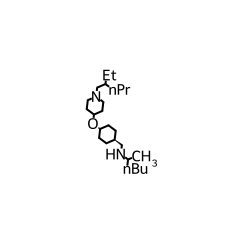 CCCCC(C)NC[C@H]1CC[C@H](OC2CCN(CC(CC)CCC)CC2)CC1